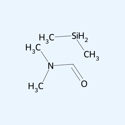 CN(C)C=O.C[SiH2]C